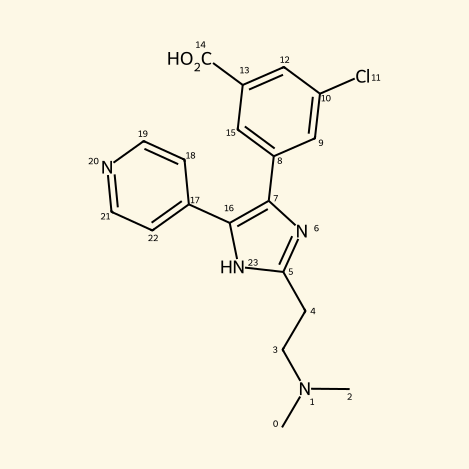 CN(C)CCc1nc(-c2cc(Cl)cc(C(=O)O)c2)c(-c2ccncc2)[nH]1